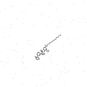 CCCCCCCCCCCCCCOc1ccc(CC(=O)Nc2cccc(-c3scc[n+]3C)c2)cc1.[Cl-]